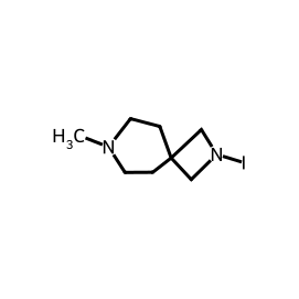 CN1CCC2(CC1)CN(I)C2